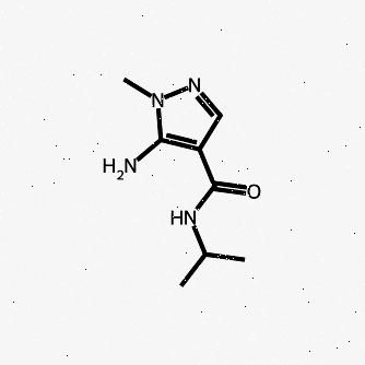 CC(C)NC(=O)c1cnn(C)c1N